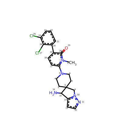 Cn1c(N2CCC3(CC2)Cn2nccc2C3N)ccc(-c2cccc(Cl)c2Cl)c1=O